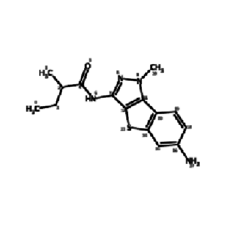 CCC(C)C(=O)Nc1nn(C)c2c1sc1cc(N)ccc12